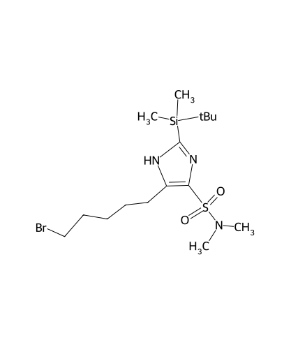 CN(C)S(=O)(=O)c1nc([Si](C)(C)C(C)(C)C)[nH]c1CCCCCBr